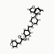 Cc1cc2c(c(N3CCN(CCC4CCC(NC(=O)CC5CCOCC5)CC4)CC3)n1)CCO2